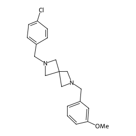 COc1cccc(CN2CC3(CN(Cc4ccc(Cl)cc4)C3)C2)c1